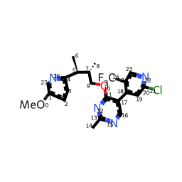 COc1ccc([C@@H](C)[C@H](C)COc2nc(C)ncc2-c2cc(Cl)ncc2C(F)(F)F)nc1